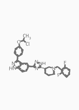 CC(Cl)Oc1ccc(-c2n[nH]c3ccc(-c4n[nH]c([C@@H]5CCCN(Cc6c(F)cccc6F)C5)n4)cc23)cc1